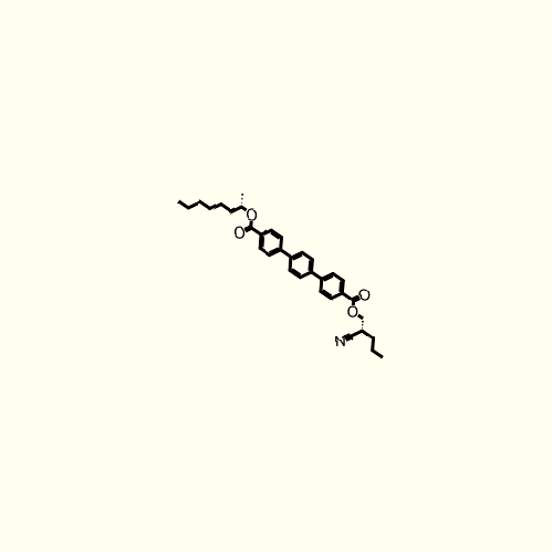 CCCCCC[C@H](C)OC(=O)c1ccc(-c2ccc(-c3ccc(C(=O)OC[C@@H](C#N)CCC)cc3)cc2)cc1